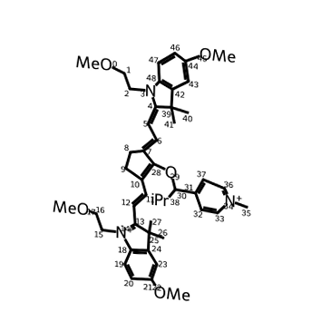 COCCN1/C(=C/C=C2\CCC(/C=C/C3=[N+](CCOC)c4ccc(OC)cc4C3(C)C)=C2OC(c2cc[n+](C)cc2)C(C)C)C(C)(C)c2cc(OC)ccc21